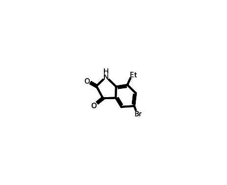 CCc1cc(Br)cc2c1NC(=O)C2=O